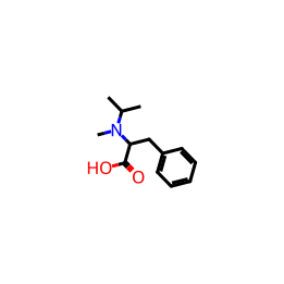 CC(C)N(C)C(Cc1ccccc1)C(=O)O